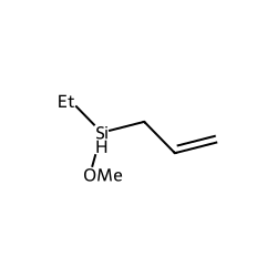 C=CC[SiH](CC)OC